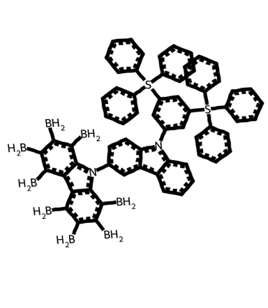 Bc1c(B)c(B)c2c(c1B)c1c(B)c(B)c(B)c(B)c1n2-c1ccc2c(c1)c1ccccc1n2-c1cc(S(c2ccccc2)(c2ccccc2)c2ccccc2)cc(S(c2ccccc2)(c2ccccc2)c2ccccc2)c1